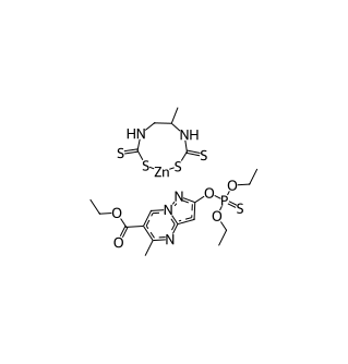 CC1CNC(=S)[S][Zn][S]C(=S)N1.CCOC(=O)c1cn2nc(OP(=S)(OCC)OCC)cc2nc1C